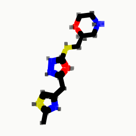 Cc1nc(Cc2nnc(SC[C@@H]3CNCCO3)o2)cs1